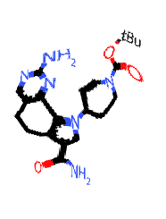 CC(C)(C)OC(=O)N1CCC(n2cc(C(N)=O)c3c2-c2nc(N)ncc2CC3)CC1